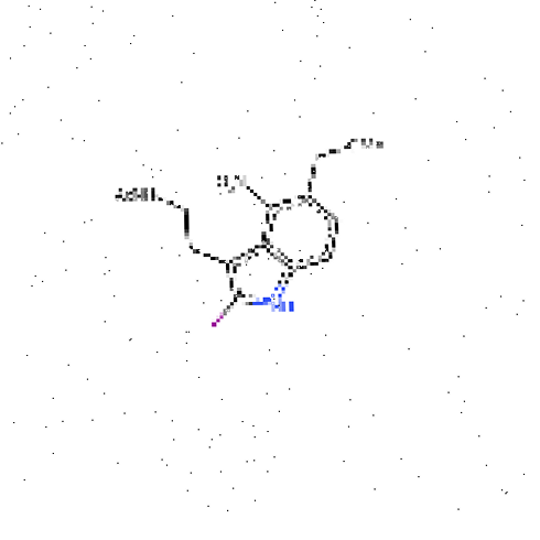 COCc1ccc2[nH]c(I)c(CCNC(C)=O)c2c1[N+](=O)[O-]